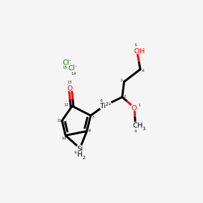 CO[CH](CCO)[Ti+2][C]1=C2[SiH2]C2=CC1=O.[Cl-].[Cl-]